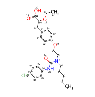 CCCCCN(CCOc1ccc(CC(OCC)C(=O)O)cc1)C(=O)Nc1ccc(Cl)cc1